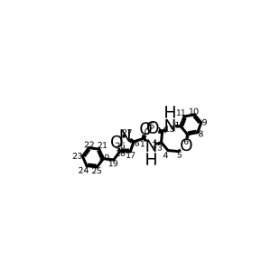 O=C(NC1CCOc2ccccc2NC1=O)c1cc(Cc2ccccc2)on1